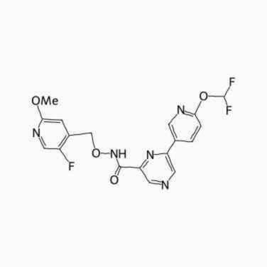 COc1cc(CONC(=O)c2cncc(-c3ccc(OC(F)F)nc3)n2)c(F)cn1